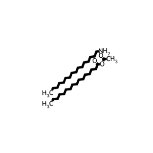 CCCCCCCCCCCCCCCC(=O)OC(C)=O.CCCCCCCCCCCCCCCCN